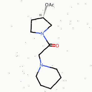 CC(=O)O[C@H]1CCN(C(=O)CN2CCCCC2)C1